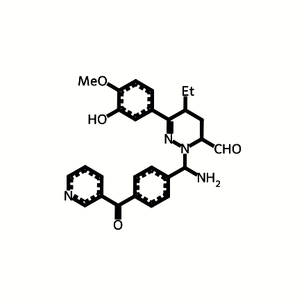 CCC1CC(C=O)N(C(N)c2ccc(C(=O)c3cccnc3)cc2)N=C1c1ccc(OC)c(O)c1